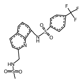 CS(=O)(=O)NCc1ccc2cccc(NS(=O)(=O)c3ccc(C(F)(F)F)cc3)c2n1